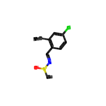 COc1cc(Cl)ccc1C=N[S+]([O-])C(C)(C)C